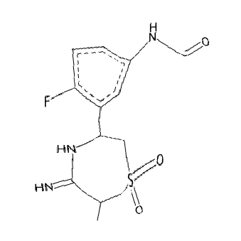 CC1C(=N)NC(c2cc(NC=O)ccc2F)CS1(=O)=O